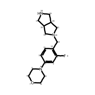 Fc1cc(N2CCOCC2)ccc1CN1CC2CNCC2C1